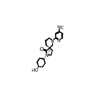 [C-]#[N+]c1ccnc(N2CCC[C@]3(CCN([C@H]4CC[C@H](O)CC4)C3=O)C2)c1